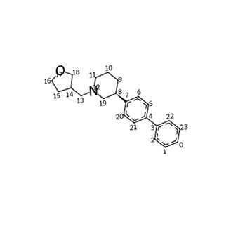 c1ccc(-c2ccc([C@@H]3CCCN(CC4CCOC4)C3)cc2)cc1